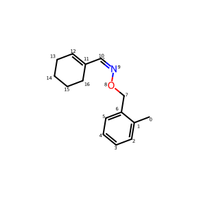 Cc1ccccc1CO/N=[C]\C1=CCCCC1